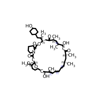 C/C1=C\[C@@H](C)C(=O)C[C@@H]([C@H](C)CC2CCC(O)CC2)OC(=O)[C@@H]2CCCCN2C(=O)C[C@]2(O)OC(CC[C@H]2C)C[C@H](O)/C(C)=C/C=C/C=C/[C@@H](C)C[C@@H](C)C(=O)C[C@@H]1O